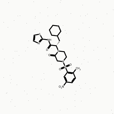 Cc1ccc([N+](=O)[O-])cc1S(=O)(=O)N1CCN([C@@H](CC2CCCCC2)C(=O)Nc2nccs2)C(=O)C1